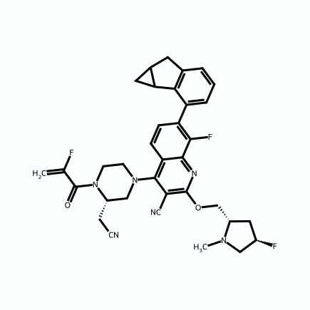 C=C(F)C(=O)N1CCN(c2c(C#N)c(OC[C@@H]3C[C@@H](F)CN3C)nc3c(F)c(-c4cccc5c4C4CC4C5)ccc23)C[C@@H]1CC#N